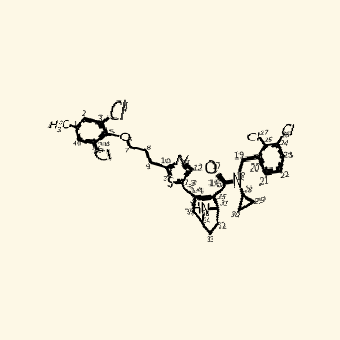 Cc1cc(Cl)c(OCCCc2ncc(C3=C(C(=O)N(Cc4cccc(Cl)c4Cl)C4CC4)C4CCC(C3)N4)s2)c(Cl)c1